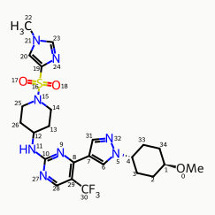 CO[C@H]1CC[C@H](n2cc(-c3nc(NC4CCN(S(=O)(=O)c5cn(C)cn5)CC4)ncc3C(F)(F)F)cn2)CC1